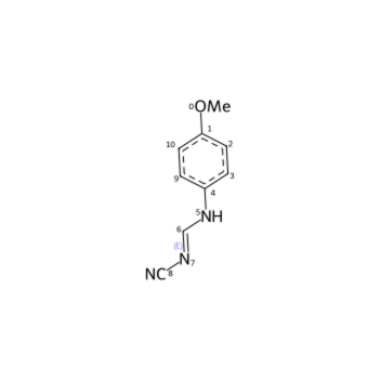 COc1ccc(N/C=N/C#N)cc1